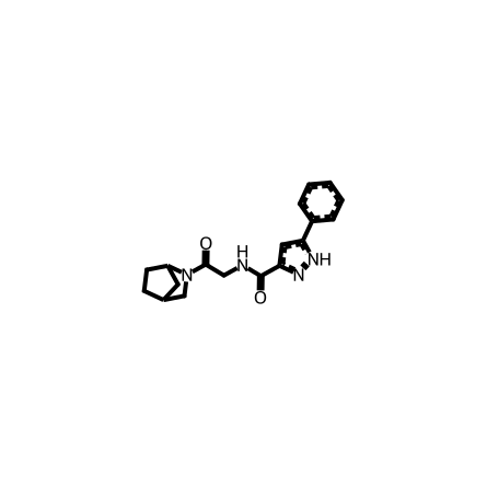 O=C(NCC(=O)N1CC2CCC1C2)c1cc(-c2ccccc2)[nH]n1